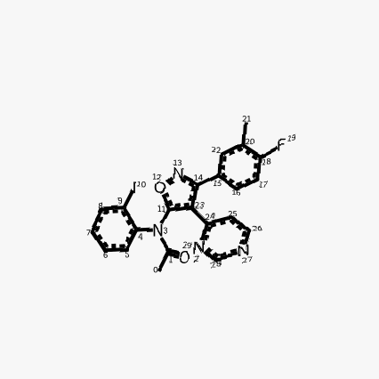 CC(=O)N(c1ccccc1I)c1onc(-c2ccc(F)c(C)c2)c1-c1ccncn1